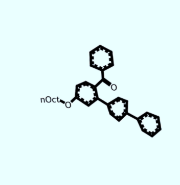 CCCCCCCCOc1ccc(C(=O)c2ccccc2)c(-c2ccc(-c3ccccc3)cc2)c1